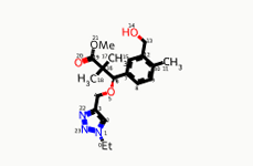 CCn1cc(CO[C@H](c2ccc(C)c(CO)c2)C(C)(C)C(=O)OC)nn1